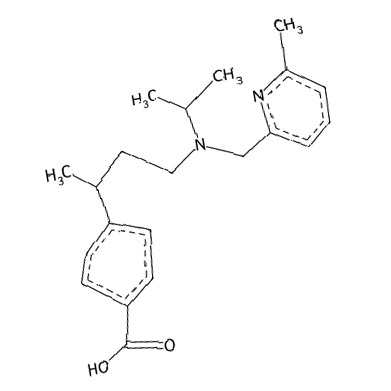 Cc1cccc(CN(CCC(C)c2ccc(C(=O)O)cc2)C(C)C)n1